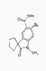 COC(=O)c1cc2c(cc1Br)N(C)C(=O)C21CCCC1